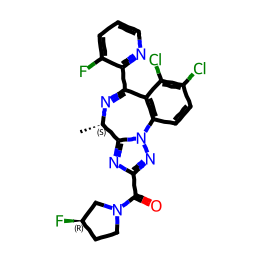 C[C@@H]1N=C(c2ncccc2F)c2c(ccc(Cl)c2Cl)-n2nc(C(=O)N3CC[C@@H](F)C3)nc21